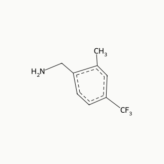 Cc1cc(C(F)(F)F)ccc1CN